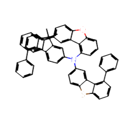 CC1(C)c2cc(N(c3ccc4sc5cccc(-c6ccccc6)c5c4c3)c3cccc4oc5ccc(-c6ccccc6)cc5c34)ccc2-c2c(-c3ccccc3)cccc21